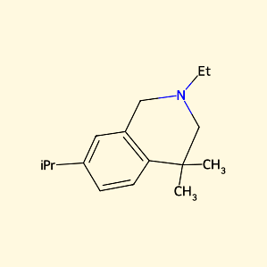 CCN1Cc2cc(C(C)C)ccc2C(C)(C)C1